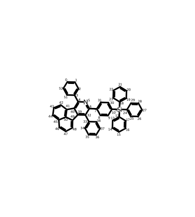 c1ccc(-c2nc(-c3ccc([Si](c4ccccc4)(c4ccccc4)c4ccccc4)cc3)c(-c3ccccc3)c3c2-c2cccc4cccc-3c24)cc1